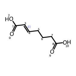 O=C(O)/C=C/CCCC(=O)O